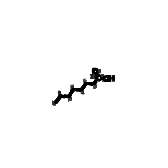 CCCCCCC[13C](=O)O